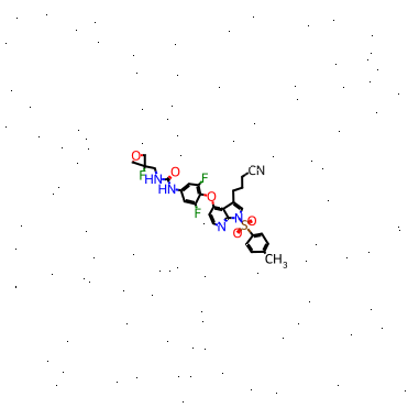 Cc1ccc(S(=O)(=O)n2cc(CCCC#N)c3c(Oc4c(F)cc(NC(=O)NCC5(F)COC5)cc4F)ccnc32)cc1